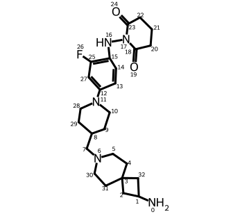 NC1CC2(CCN(CC3CCN(c4ccc(NN5C(=O)CCCC5=O)c(F)c4)CC3)CC2)C1